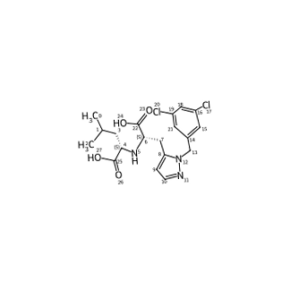 CC(C)C[C@H](N[C@@H](Cc1ccnn1Cc1cc(Cl)cc(Cl)c1)C(=O)O)C(=O)O